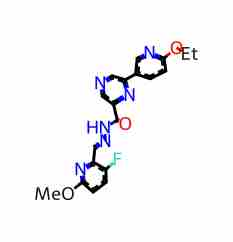 CCOc1ccc(-c2cncc(C(=O)N/N=C/c3nc(OC)ccc3F)n2)cn1